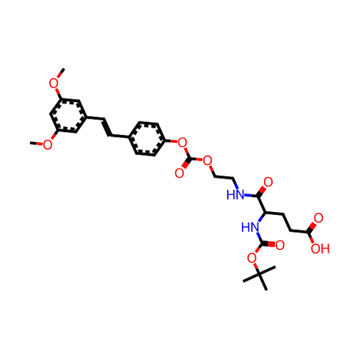 COc1cc(C=Cc2ccc(OC(=O)OCCNC(=O)C(CCC(=O)O)NC(=O)OC(C)(C)C)cc2)cc(OC)c1